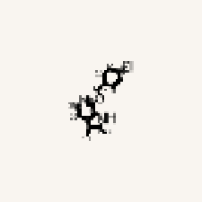 Cc1[nH]c2c(OCc3ccc(Cl)cc3)nccc2c1C